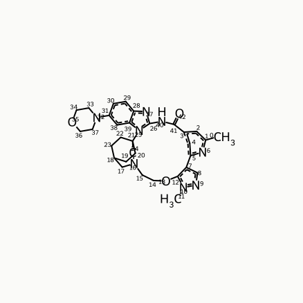 Cc1cc2cc(n1)-c1cnn(C)c1OCCN1CC3CCC(CC3)(C1)n1c(nc3ccc(N4CCOCC4)cc31)NC2=O